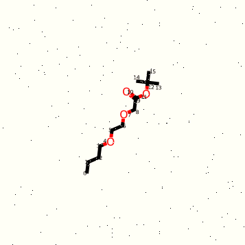 CCCCOCCOCC(=O)OC(C)(C)C